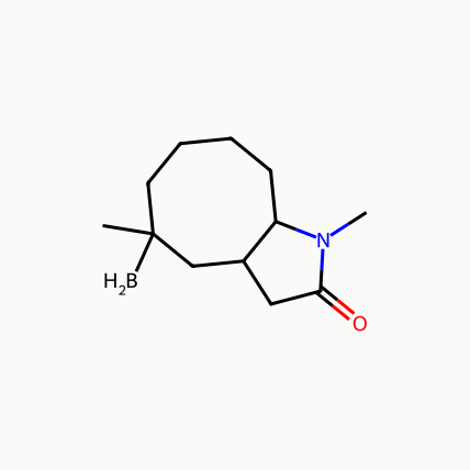 BC1(C)CCCCC2C(CC(=O)N2C)C1